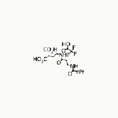 CCCC(=O)NCCC(=O)N[C@H](CCC(=O)O)C(=O)O.O=C(O)C(F)(F)F